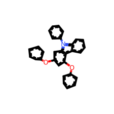 c1ccc(Oc2cc(Oc3ccccc3)c3c4ccccc4n(-c4ccccc4)c3c2)cc1